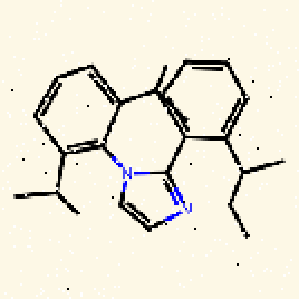 CCC(C)c1ccccc1-c1nccn1-c1c(C(C)C)cccc1C(C)C